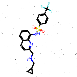 O=S(=O)(Nc1cccc2ccc(CNCC3CC3)nc12)c1ccc(C(F)(F)F)cc1